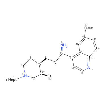 CCCCCCCN1CC[C@@H](CC[C@@H](N)c2ccnc3ccc(OC)cc23)[C@@H](CC)C1